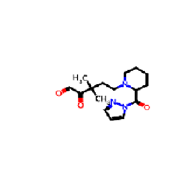 CC(C)(CCN1CCCCC1C(=O)n1cccn1)C(=O)C=O